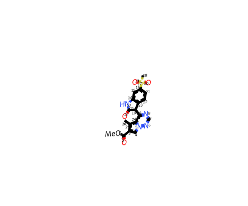 COC(=O)c1cn2ncnc(C3C(=O)Nc4cc(S(C)(=O)=O)ccc43)c2c1C